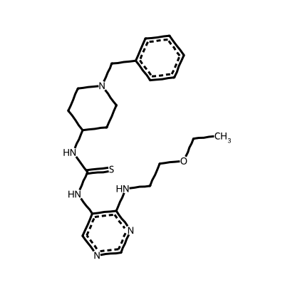 CCOCCNc1ncncc1NC(=S)NC1CCN(Cc2ccccc2)CC1